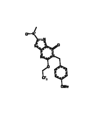 COc1ccc(Cn2c(OCC(F)(F)F)nc3sc([S+](C)[O-])nc3c2=O)cc1